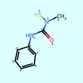 CN(S)C(=O)Nc1ccccc1